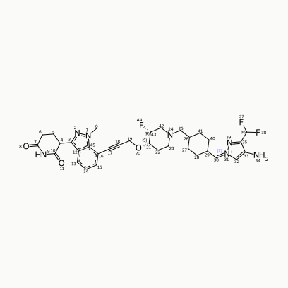 Cn1nc(C2CCC(=O)NC2=O)c2cccc(C#CCO[C@H]3CCN(CC4CCC(/C=[N+]5/C=C(N)C(C(F)F)=N5)CC4)C[C@H]3F)c21